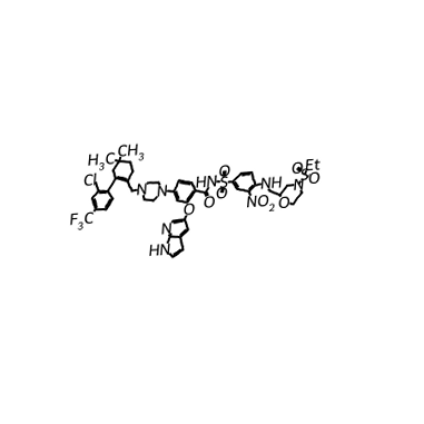 CCS(=O)(=O)N1CCOC(CNc2ccc(S(=O)(=O)NC(=O)c3ccc(N4CCN(CC5=C(c6ccc(C(F)(F)F)cc6Cl)CC(C)(C)CC5)CC4)cc3Oc3cnc4[nH]ccc4c3)cc2[N+](=O)[O-])C1